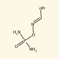 CCCC=NOP(N)(N)=O